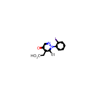 CCc1c(CC(=O)O)c(=O)cnn1-c1ccccc1I